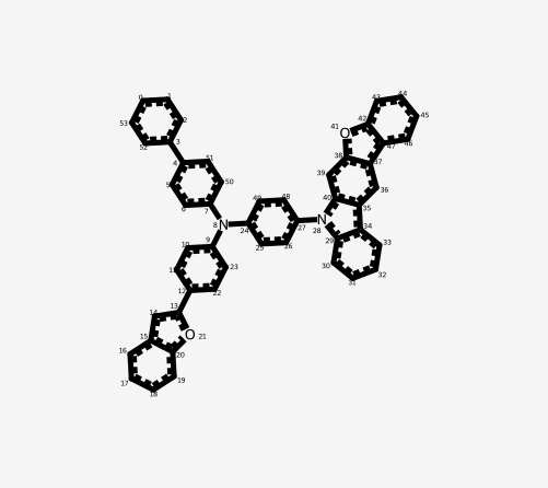 c1ccc(-c2ccc(N(c3ccc(-c4cc5ccccc5o4)cc3)c3ccc(-n4c5ccccc5c5cc6c(cc54)oc4ccccc46)cc3)cc2)cc1